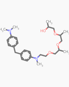 CC(O)COC(C)COC(C)COCCN(C)c1ccc(Cc2ccc(N(C)C)cc2)cc1